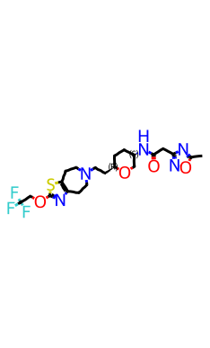 Cc1nc(CC(=O)N[C@H]2CC[C@H](CCN3CCc4nc(OCC(F)(F)F)sc4CC3)OC2)no1